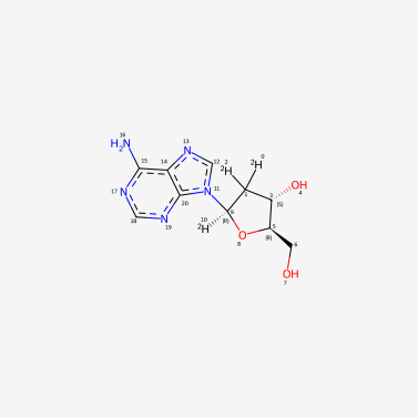 [2H]C1([2H])[C@H](O)[C@@H](CO)O[C@@]1([2H])n1cnc2c(N)ncnc21